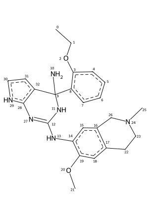 CCOc1ccccc1C1(N)NC(Nc2cc3c(cc2OC)CCN(C)C3)=Nc2[nH]ccc21